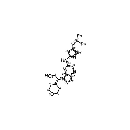 OCC(C1CCOCC1)n1ncc2ncc(Nc3cc(OC(F)F)[nH]n3)nc21